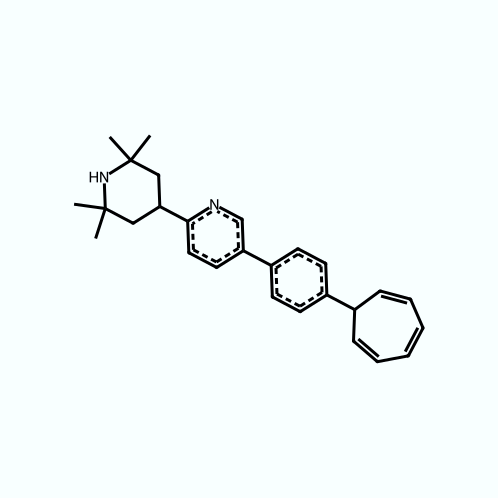 CC1(C)CC(c2ccc(-c3ccc(C4C=CC=CC=C4)cc3)cn2)CC(C)(C)N1